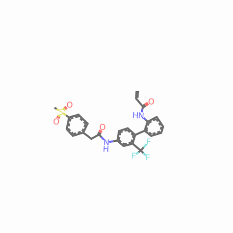 C=CC(=O)Nc1ccccc1-c1ccc(NC(=O)Cc2ccc(S(C)(=O)=O)cc2)cc1C(F)(F)F